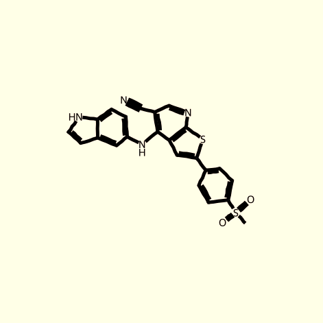 CS(=O)(=O)c1ccc(-c2cc3c(Nc4ccc5[nH]ccc5c4)c(C#N)cnc3s2)cc1